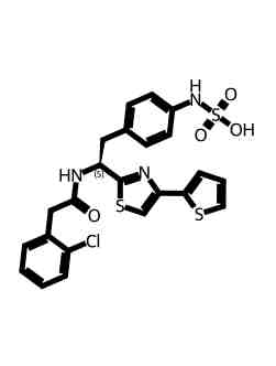 O=C(Cc1ccccc1Cl)N[C@@H](Cc1ccc(NS(=O)(=O)O)cc1)c1nc(-c2cccs2)cs1